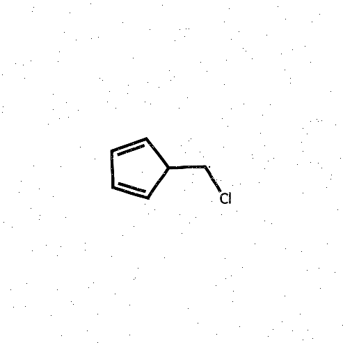 Cl[CH]C1C=CC=C1